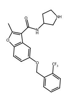 Cc1oc2ccc(OCc3ccccc3C(F)(F)F)cc2c1C(=O)NC1CCNC1